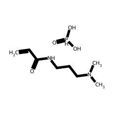 C=CC(=O)NCCCN(C)C.O=[PH](O)O